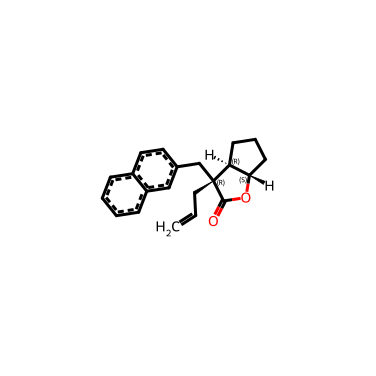 C=CC[C@]1(Cc2ccc3ccccc3c2)C(=O)O[C@H]2CCC[C@@H]21